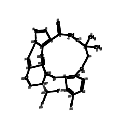 CC1(C)CNC(=O)c2cnn3cc4c(nc23)N(Cc2cc(F)ccc2OC1)[C@H](C(F)F)CO4